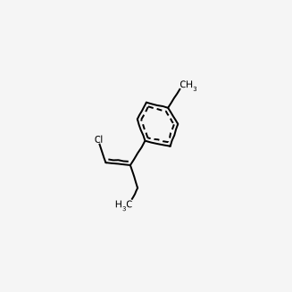 CC/C(=C/Cl)c1ccc(C)cc1